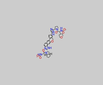 COC(=O)NCC(=O)N1[C@H](c2nc3ccc4cc5c(cc4c3[nH]2)OCc2cc(-c3cnc(C4CCCN4C(=O)C(NC(=O)OC)C4CCOCC4)[nH]3)ccc2-5)C[C@@H]2CCC[C@@H]21